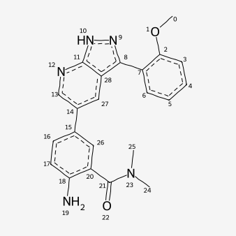 COc1ccccc1-c1n[nH]c2ncc(-c3ccc(N)c(C(=O)N(C)C)c3)cc12